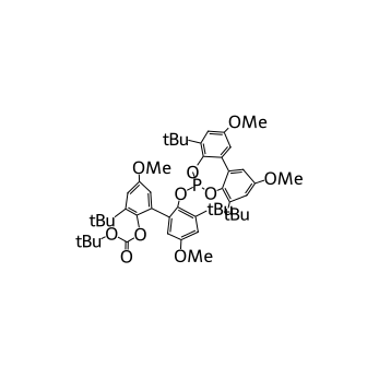 COc1cc(-c2cc(OC)cc(C(C)(C)C)c2Op2oc3c(C(C)(C)C)cc(OC)cc3c3cc(OC)cc(C(C)(C)C)c3o2)c(OC(=O)OC(C)(C)C)c(C(C)(C)C)c1